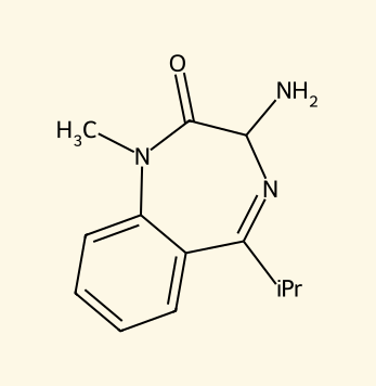 CC(C)C1=NC(N)C(=O)N(C)c2ccccc21